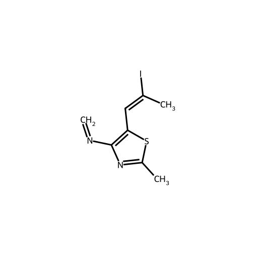 C=Nc1nc(C)sc1/C=C(\C)I